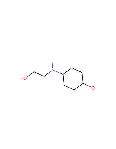 CN(CCO)C1CCC([O])CC1